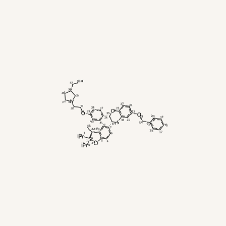 CC(C)[Si]1(C(C)C)Oc2ccc([C@H]3Sc4cc(OCc5ccccc5)ccc4O[C@H]3c3ccc(OCCN4CC[C@@H](CF)C4)cc3)cc2C1C